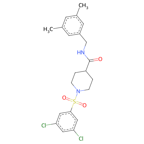 Cc1cc(C)cc(CNC(=O)C2CCN(S(=O)(=O)c3cc(Cl)cc(Cl)c3)CC2)c1